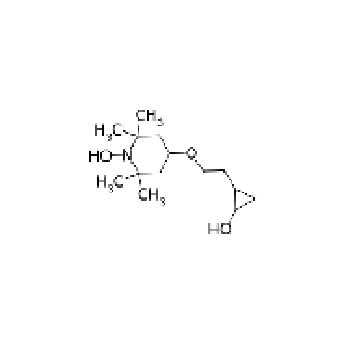 CC1(C)CC(OCCC2CC2O)CC(C)(C)N1O